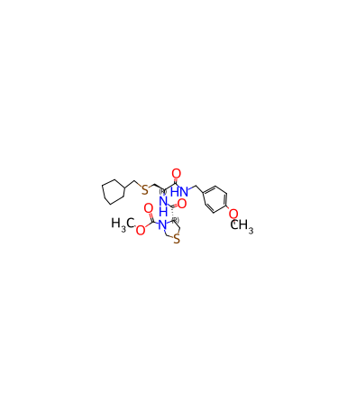 COC(=O)N1CSC[C@H]1C(=O)N[C@@H](CSCC1CCCCC1)C(=O)NCc1ccc(OC)cc1